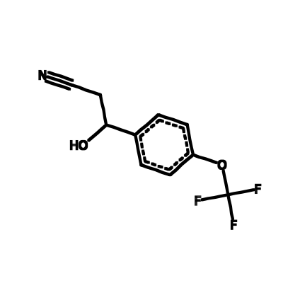 N#CCC(O)c1ccc(OC(F)(F)F)cc1